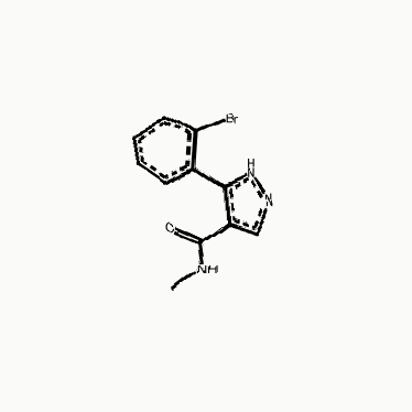 CNC(=O)c1cn[nH]c1-c1ccccc1Br